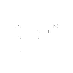 Nc1nc2ccccc2c2nn(-c3cc[nH]n3)cc12